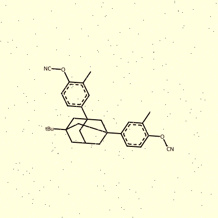 Cc1cc(C23CC4CC(c5ccc(OC#N)c(C)c5)(C2)CC(C(C)(C)C)(C4)C3)ccc1OC#N